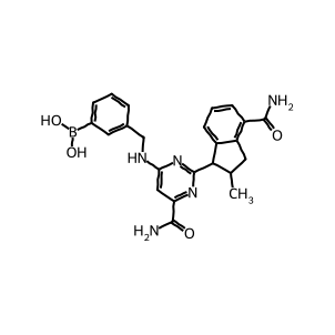 CC1Cc2c(C(N)=O)cccc2C1c1nc(NCc2cccc(B(O)O)c2)cc(C(N)=O)n1